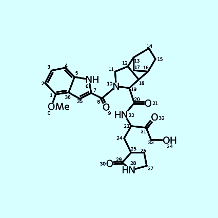 COc1cccc2[nH]c(C(=O)N3CC4C5CCC(C5)C4C3C(=O)NC(CC3CCNC3=O)C(=O)CO)cc12